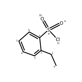 C[CH]c1ccccc1S(=O)(=O)Cl